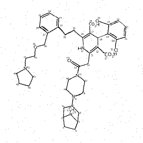 CN1C2CCC1CC(N1CCN(C(=O)CC3=C(C(=O)O)C(c4c(Cl)cccc4Cl)C(C(=O)O)=C(CCc4ccccc4COCCN4CCCC4)N3)CC1)C2